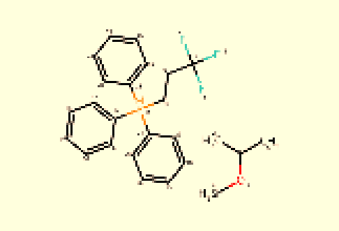 CC(C)O[SiH3].FC(F)(F)CC[PH](c1ccccc1)(c1ccccc1)c1ccccc1